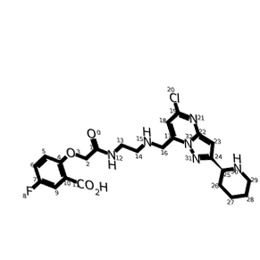 O=C(COc1ccc(F)cc1C(=O)O)NCCNCc1cc(Cl)nc2cc([C@@H]3CCCCN3)nn12